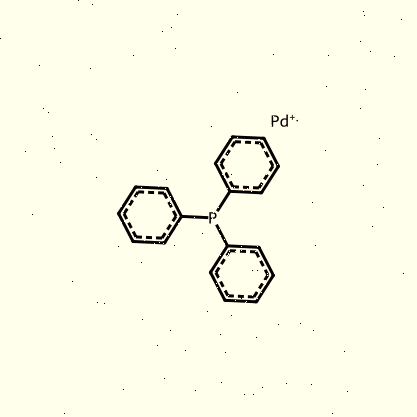 [Pd+].c1ccc(P(c2ccccc2)c2ccccc2)cc1